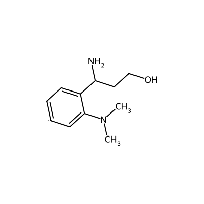 CN(C)c1c[c]ccc1C(N)CCO